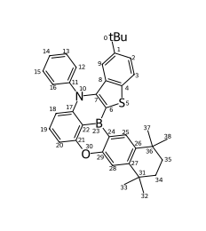 CC(C)(C)c1ccc2sc3c(c2c1)N(c1ccccc1)c1cccc2c1B3c1cc3c(cc1O2)C(C)(C)CCC3(C)C